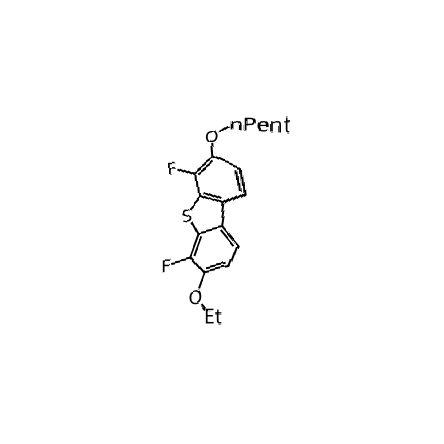 CCCCCOc1ccc2c(sc3c(F)c(OCC)ccc32)c1F